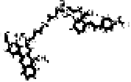 CC[n+]1ccc(/C=C/c2ccccc2N(C)CCCN(C)CCCSSCCC[N+](C)(C)CCCN(C)c2ccccc2/C=C/c2cc[n+](CC)cc2)cc1